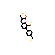 O=c1oc2c(CP)c(-c3ccc(CP)cc3)ccc2cc1CP